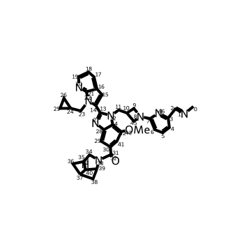 C/N=C/c1cccc(N2CC(Cn3c(-c4cc5cccnc5n4CC4CC4)nc4cc(C(=O)N5CC6CC7CC5[C@H]76)cc(OC)c43)C2)n1